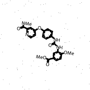 CNC(=O)c1cc(Oc2ccc(NC(=O)Nc3cc(C(=O)OC)ccc3OC)cc2)ccn1